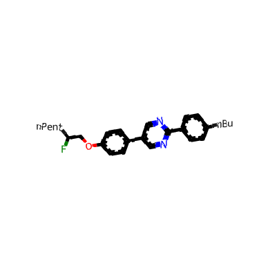 CCCCCC(F)COc1ccc(-c2cnc(-c3ccc(CCCC)cc3)nc2)cc1